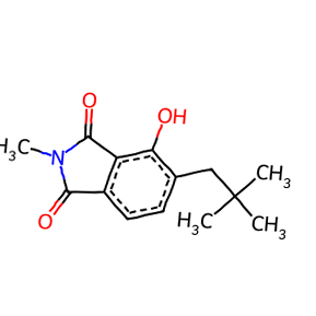 CN1C(=O)c2ccc(CC(C)(C)C)c(O)c2C1=O